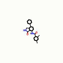 Cc1ccc(C(=O)Nc2ccc(-c3ccccc3)c3c2C(=O)NC3)c(C)c1